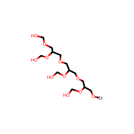 CCOCC(COCC(COCC(COCO)OCO)OCO)OCO